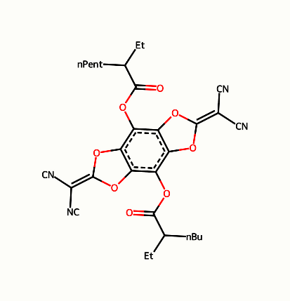 [C-]#[N+]C([N+]#[C-])=C1Oc2c(OC(=O)C(CC)CCCC)c3c(c(OC(=O)C(CC)CCCCC)c2O1)OC(=C(C#N)C#N)O3